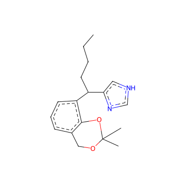 CCCCC(c1c[nH]cn1)c1cccc2c1OC(C)(C)OC2